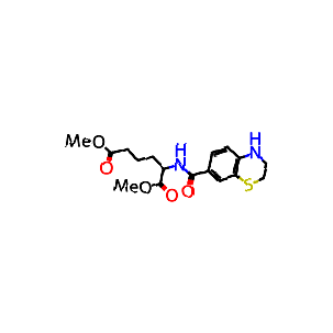 COC(=O)CCCC(NC(=O)c1ccc2c(c1)SCCN2)C(=O)OC